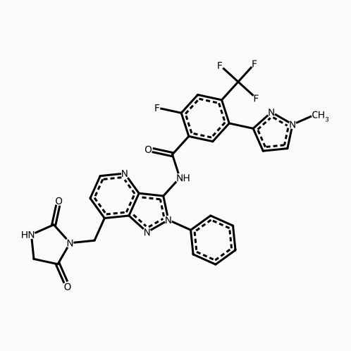 Cn1ccc(-c2cc(C(=O)Nc3c4nccc(CN5C(=O)CNC5=O)c4nn3-c3ccccc3)c(F)cc2C(F)(F)F)n1